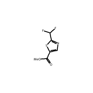 COC(=O)c1cnc(C(F)F)s1